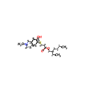 CCCCC(CC)COC(=O)CCSc1cc2c(cc1O)CN(C)CC2